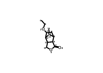 CCOC1CC2C3C(=O)OCC3C1N2C